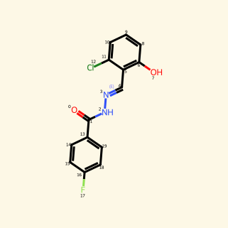 O=C(N/N=C/c1c(O)cccc1Cl)c1ccc(F)cc1